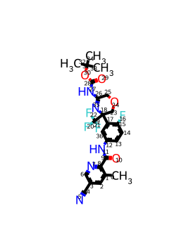 Cc1cc(C#N)cnc1C(=O)Nc1ccc(F)c(C2(C(F)(F)F)COCC(NC(=O)OC(C)(C)C)=N2)c1